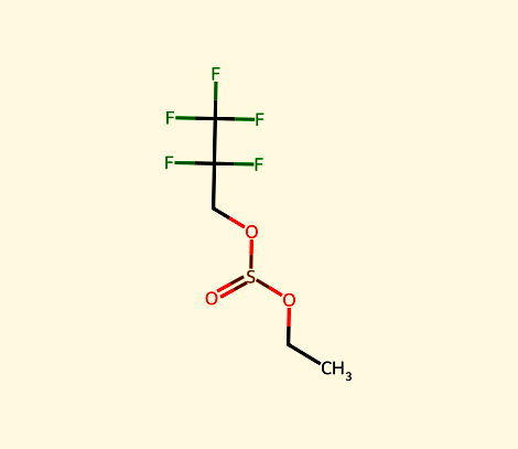 CCOS(=O)OCC(F)(F)C(F)(F)F